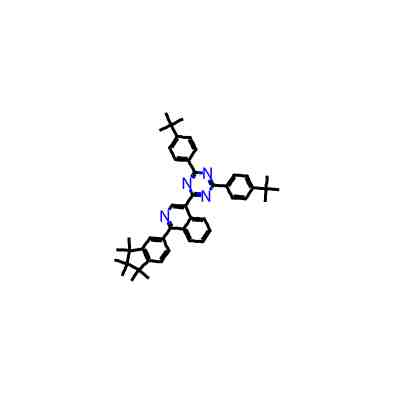 CC(C)(C)c1ccc(-c2nc(-c3ccc(C(C)(C)C)cc3)nc(-c3cnc(-c4ccc5c(c4)C(C)(C)C(C)(C)C5(C)C)c4ccccc34)n2)cc1